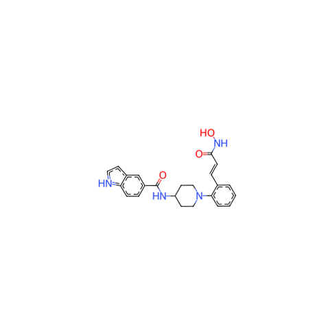 O=C(/C=C/c1ccccc1N1CCC(NC(=O)c2ccc3[nH]ccc3c2)CC1)NO